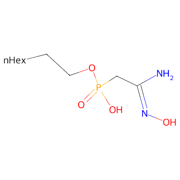 CCCCCCCCOP(=O)(O)CC(N)=NO